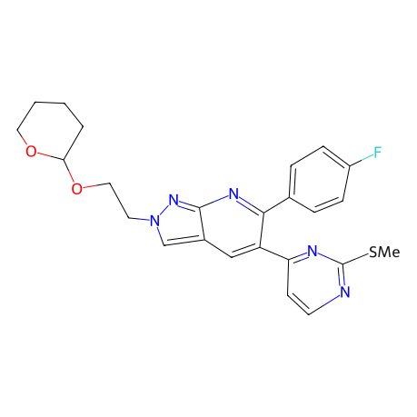 CSc1nccc(-c2cc3cn(CCOC4CCCCO4)nc3nc2-c2ccc(F)cc2)n1